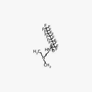 C=CCN(C=CCNS(=O)(=O)C(F)(F)C(F)(F)C(F)(F)C(F)(F)C(F)(F)C(F)(F)C(F)(F)C(F)(F)F)CC=C